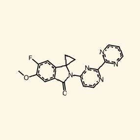 COc1cc2c(cc1F)C1(CC1)N(c1ccnc(-c3ncccn3)n1)C2=O